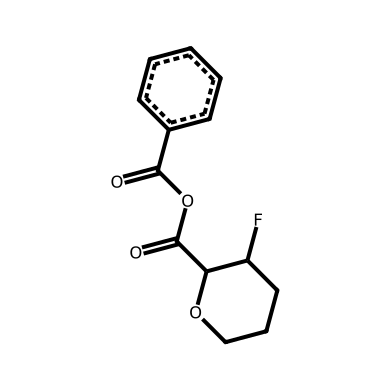 O=C(OC(=O)C1OCCCC1F)c1ccccc1